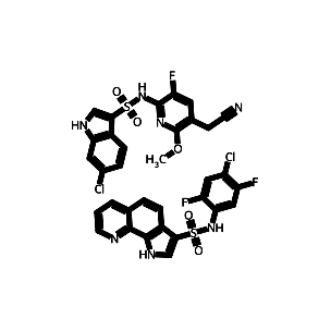 COc1nc(NS(=O)(=O)c2c[nH]c3cc(Cl)ccc23)c(F)cc1CC#N.O=S(=O)(Nc1cc(F)c(Cl)cc1F)c1c[nH]c2c1ccc1cccnc12